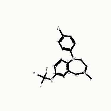 CN1CCN(c2ccc(Cl)cc2)c2ccc(OC(F)(F)F)cc2C1